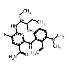 C=Cc1c(Nc2nc(N[C@H](CC)C(N)CC)c(F)cc2C(N)=O)cccc1N(C)C